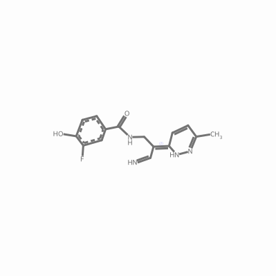 CC1=NN/C(=C(\C=N)CNC(=O)c2ccc(O)c(F)c2)C=C1